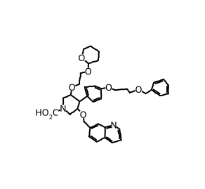 O=C(O)N1CC(OCCOC2CCCCO2)C(c2ccc(OCCCOCc3ccccc3)cc2)C(OCc2ccc3cccnc3c2)C1